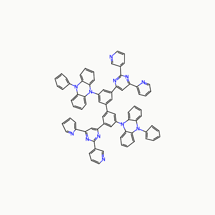 c1ccc(N2c3ccccc3N(c3cc(-c4cc(-c5cc(-c6ccccn6)nc(-c6cccnc6)n5)cc(N5c6ccccc6N(c6ccccc6)c6ccccc65)c4)cc(-c4cc(-c5ccccn5)nc(-c5cccnc5)n4)c3)c3ccccc32)cc1